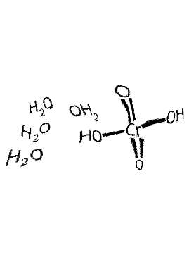 O.O.O.O.[O]=[Cr](=[O])([OH])[OH]